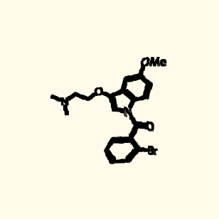 COc1ccc2c(c1)c(OCCN(C)C)cn2C(=O)c1ccccc1Br